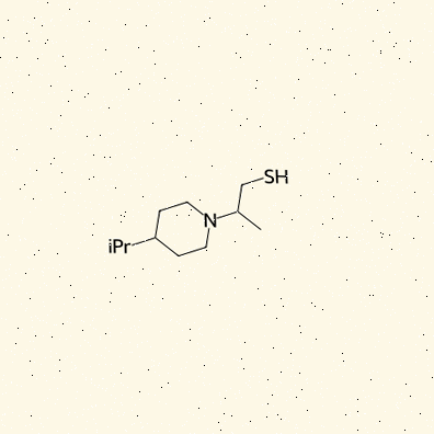 CC(C)C1CCN(C(C)CS)CC1